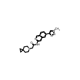 Cn1cc(-c2ccc3cnc(NC(=O)CN4CCC5(CC4)CC5)cc3c2)nn1